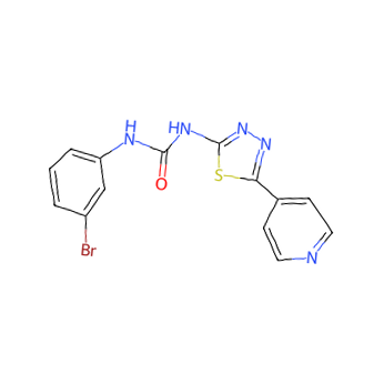 O=C(Nc1cccc(Br)c1)Nc1nnc(-c2ccncc2)s1